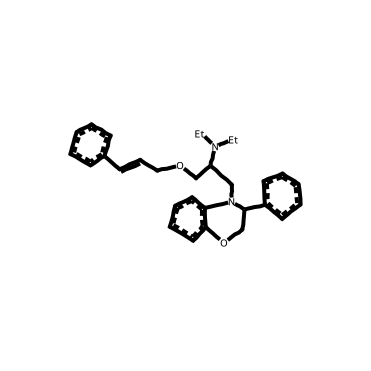 CCN(CC)C(COCC=Cc1ccccc1)CN1c2ccccc2OCC1c1ccccc1